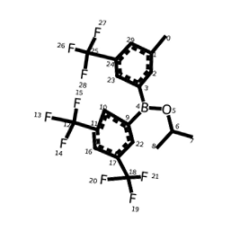 Cc1cc(B(OC(C)C)c2cc(C(F)(F)F)cc(C(F)(F)F)c2)cc(C(F)(F)F)c1